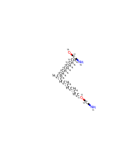 C.C.C.C.C.C.C.C.C.C.C.C.C.N=C=O.N=C=O